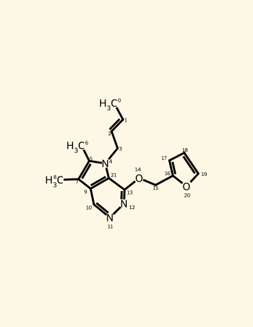 CC=CCn1c(C)c(C)c2cnnc(OCc3ccco3)c21